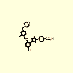 Cc1cc(CN2CCOCC2)ccc1COc1ccc(Cl)cc1-c1csc(N2CCC(C(=O)O)CC2)n1